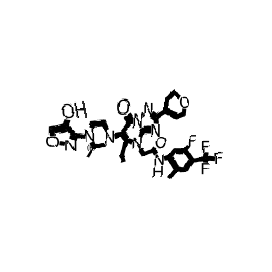 CCc1c(N2CCN(c3nocc3O)[C@H](C)C2)c(=O)n2nc(C3=CCOCC3)nc2n1CC(=O)Nc1cc(F)c(C(F)(F)F)cc1C